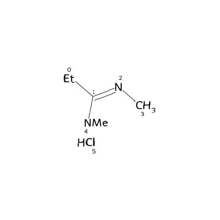 CCC(=NC)NC.Cl